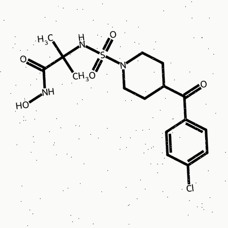 CC(C)(NS(=O)(=O)N1CCC(C(=O)c2ccc(Cl)cc2)CC1)C(=O)NO